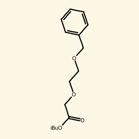 CC(C)COC(=O)COCCOCc1ccccc1